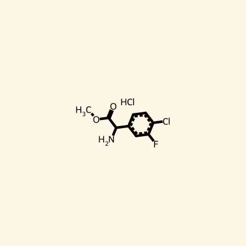 COC(=O)C(N)c1ccc(Cl)c(F)c1.Cl